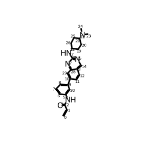 C=CC(=O)Nc1cccc(-c2ccc3cnc(N[C@H]4CC[C@H](N(C)C)CC4)nc3c2)c1